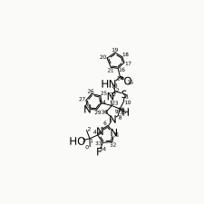 CC(C)(O)c1nc(N2C[C@H]3CSC(NC(=O)c4ccccc4)=NC3(c3cccnc3)C2)ncc1F